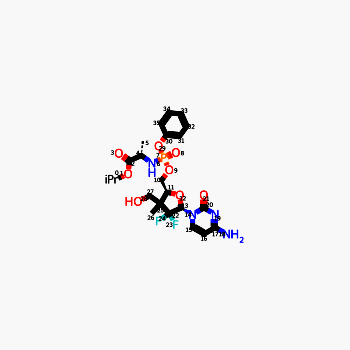 CC(C)OC(=O)[C@H](C)NP(=O)(OC[C@H]1O[C@@H](n2ccc(N)nc2=O)C(F)(F)C1(C)CO)Oc1ccccc1